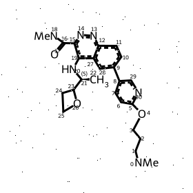 CNCCCOc1ccc(-c2ccc3nnc(C(=O)NC)c(N[C@@H](C)C4CCO4)c3c2)cn1